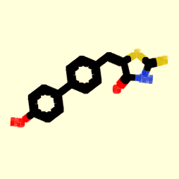 O=C1NC(=S)SC1=Cc1ccc(-c2ccc(O)cc2)cc1